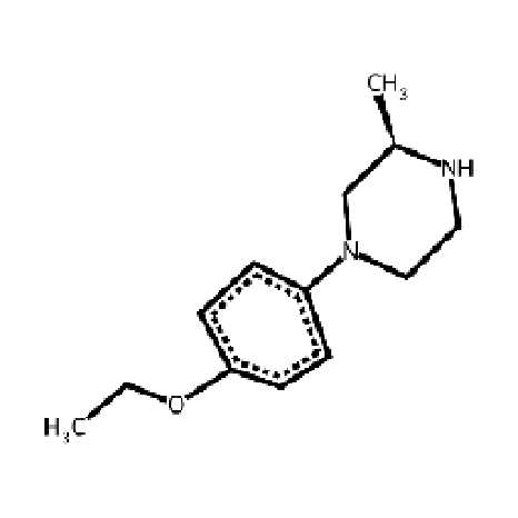 CCOc1ccc(N2CCN[C@H](C)C2)cc1